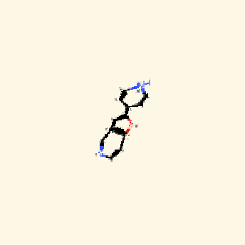 C1=CC(c2cc3cnccc3o2)C=CN1